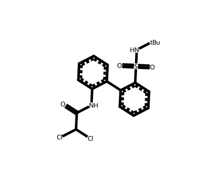 CC(C)(C)NS(=O)(=O)c1ccccc1-c1ccccc1NC(=O)C(Cl)Cl